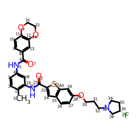 Cc1ccc(NC(=O)c2ccc3c(c2)OCCO3)cc1NC(=O)c1cc2ccc(OCCCN3CC[C@H](F)C3)cc2s1